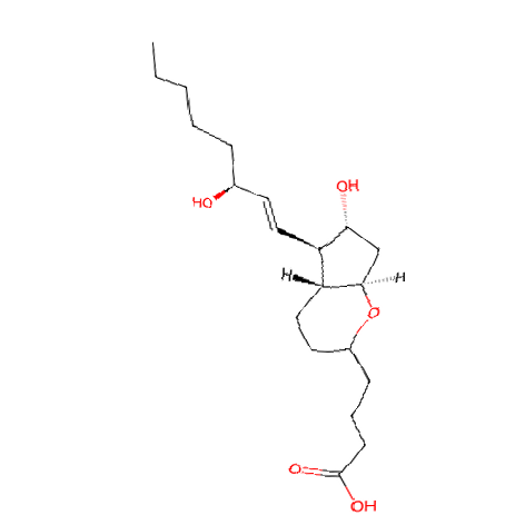 CCCCC[C@H](O)/C=C/[C@@H]1[C@H]2CCC(CCCC(=O)O)O[C@@H]2C[C@H]1O